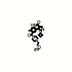 Cc1cc2[nH]c(=O)c3cnn(C4CCC4)c3c2cc1C(=O)N1CCN(CCOC(C)C)CC1